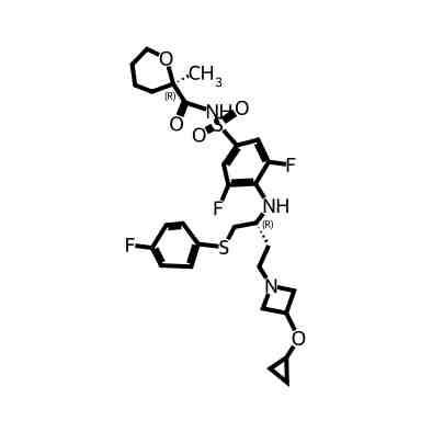 C[C@]1(C(=O)NS(=O)(=O)c2cc(F)c(N[C@H](CCN3CC(OC4CC4)C3)CSc3ccc(F)cc3)c(F)c2)CCCCO1